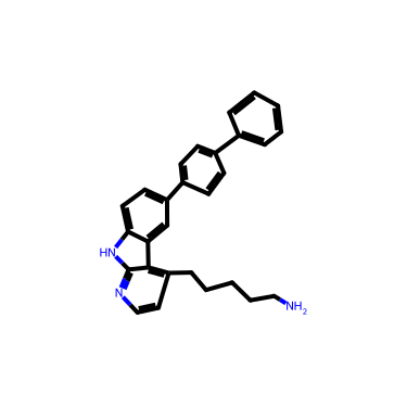 NCCCCCc1ccnc2[nH]c3ccc(-c4ccc(-c5ccccc5)cc4)cc3c12